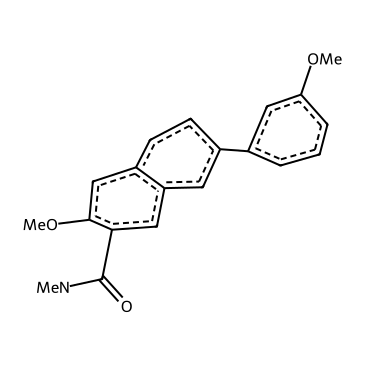 CNC(=O)c1cc2cc(-c3cccc(OC)c3)ccc2cc1OC